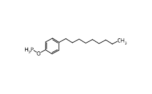 CCCCCCCCCc1ccc(OP)cc1